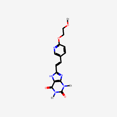 CCOCCOc1ccc(/C=C/c2nc3c([nH]2)c(=O)n(CC)c(=O)n3CC)cn1